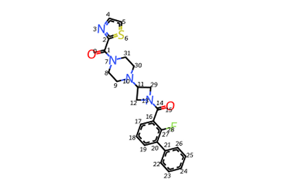 O=C(c1nccs1)N1CCN(C2CN(C(=O)c3cccc(-c4ccccc4)c3F)C2)CC1